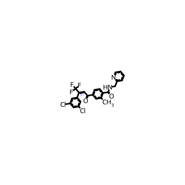 Cc1cc(C(=O)/C=C(\c2cc(Cl)cc(Cl)c2)C(F)(F)F)ccc1C(=O)NCc1ccccn1